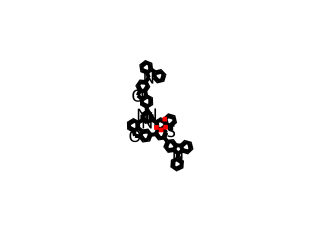 c1ccc(-c2nc(-c3ccc4c(c3)oc3ccc(-n5c6ccccc6c6ccccc65)cc34)nc(-c3cccc4oc5ccc(-c6cc(-c7ccc8c(c7)c7ccccc7n8-c7ccccc7)c7sc8ccccc8c7c6)cc5c34)n2)cc1